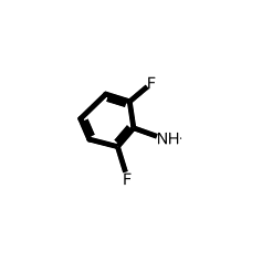 [NH]c1c(F)cccc1F